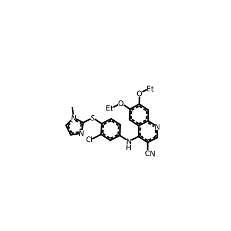 CCOc1cc2ncc(C#N)c(Nc3ccc(Sc4nccn4C)c(Cl)c3)c2cc1OCC